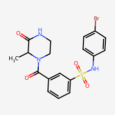 CC1C(=O)NCCN1C(=O)c1cccc(S(=O)(=O)Nc2ccc(Br)cc2)c1